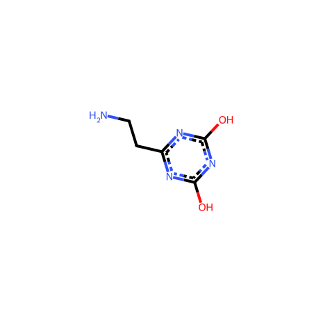 NCCc1nc(O)nc(O)n1